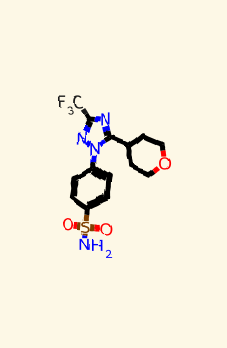 NS(=O)(=O)c1ccc(-n2nc(C(F)(F)F)nc2C2CCOCC2)cc1